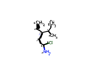 C=C/C(=C/C(N)Cl)C(C)C